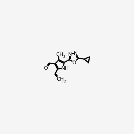 C=Cc1[nH]c(-c2nnc(C3CC3)o2)c(C)c1C=O